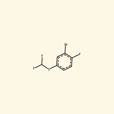 Fc1ccc(SC(F)F)cc1Br